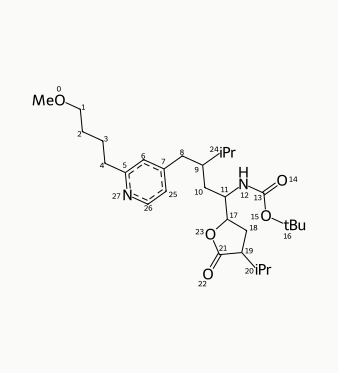 COCCCCc1cc(CC(CC(NC(=O)OC(C)(C)C)C2CC(C(C)C)C(=O)O2)C(C)C)ccn1